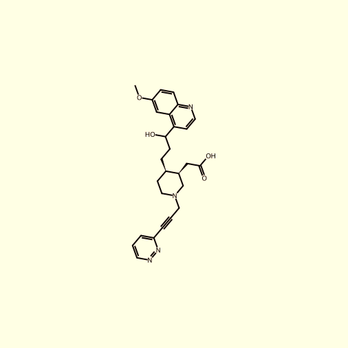 COc1ccc2nccc(C(O)CC[C@@H]3CCN(CC#Cc4cccnn4)C[C@@H]3CC(=O)O)c2c1